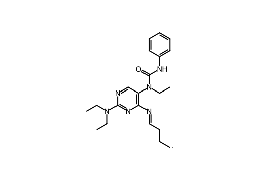 [CH2]CCC=Nc1nc(N(CC)CC)ncc1N(CC)C(=O)Nc1ccccc1